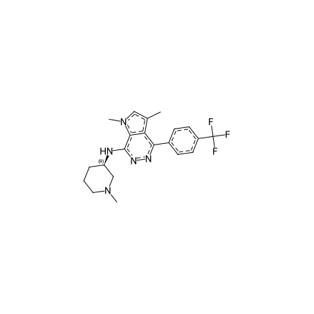 Cc1cn(C)c2c(N[C@@H]3CCCN(C)C3)nnc(-c3ccc(C(F)(F)F)cc3)c12